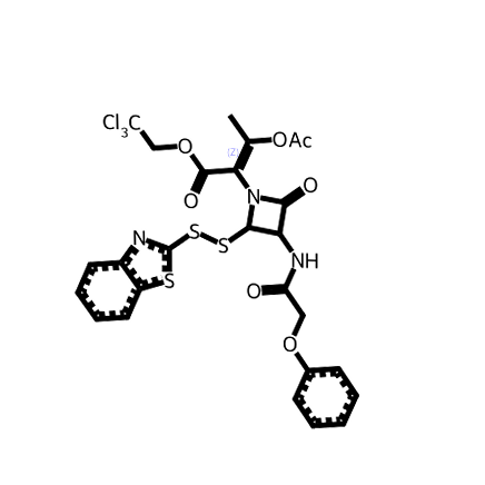 CC(=O)O/C(C)=C(/C(=O)OCC(Cl)(Cl)Cl)N1C(=O)C(NC(=O)COc2ccccc2)C1SSc1nc2ccccc2s1